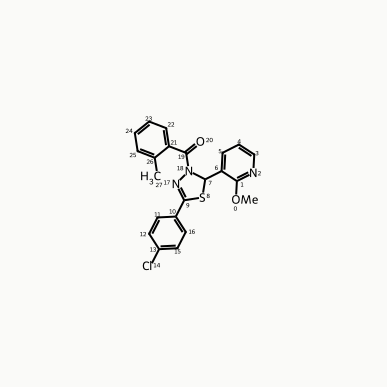 COc1ncccc1C1SC(c2ccc(Cl)cc2)=NN1C(=O)c1ccccc1C